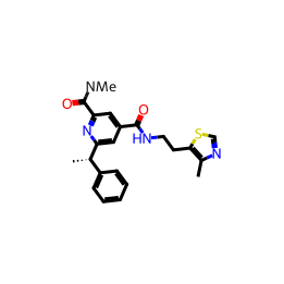 CNC(=O)c1cc(C(=O)NCCc2scnc2C)cc([C@@H](C)c2ccccc2)n1